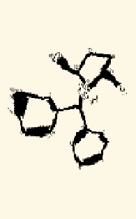 O=C(O)C(c1ccccc1)c1ccccc1.O=C1CCC(=O)N1